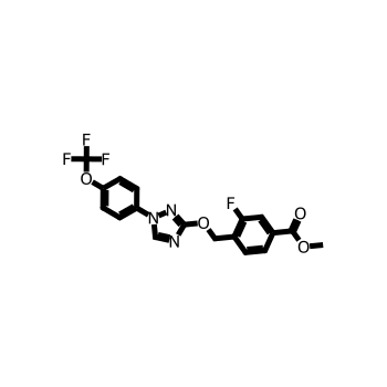 COC(=O)c1ccc(COc2ncn(-c3ccc(OC(F)(F)F)cc3)n2)c(F)c1